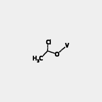 CC(Cl)[O][V]